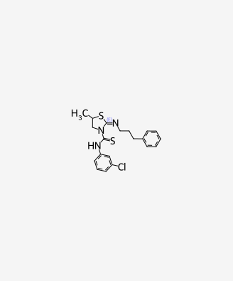 CC1CN(C(=S)Nc2cccc(Cl)c2)/C(=N\CCCc2ccccc2)S1